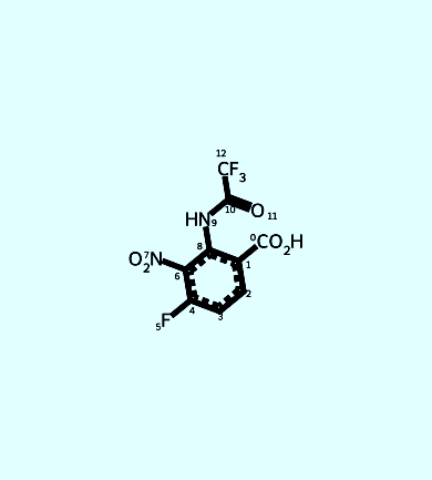 O=C(O)c1ccc(F)c([N+](=O)[O-])c1NC(=O)C(F)(F)F